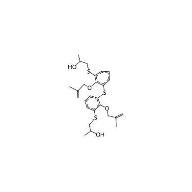 C=C(C)COc1c(SCC(C)O)cccc1Sc1cccc(SCC(C)O)c1OCC(=C)C